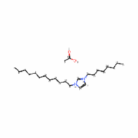 CC(=O)[O-].CCCCCCCCCCCCn1cc[n+](CCCCCCCC)c1